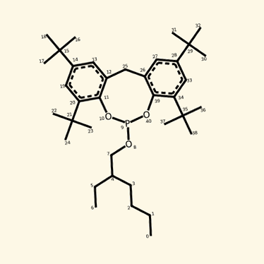 CCCCC(CC)COP1Oc2c(cc(C(C)(C)C)cc2C(C)(C)C)Cc2cc(C(C)(C)C)cc(C(C)(C)C)c2O1